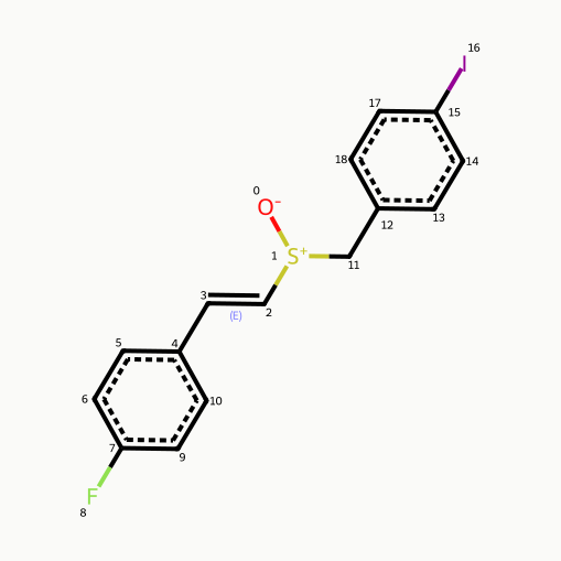 [O-][S+](/C=C/c1ccc(F)cc1)Cc1ccc(I)cc1